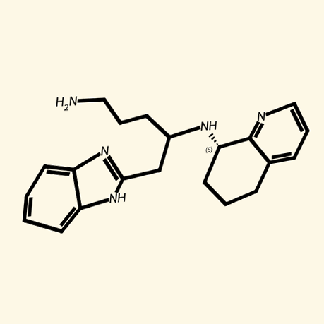 NCCCC(Cc1nc2ccccc2[nH]1)N[C@H]1CCCc2cccnc21